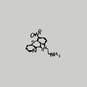 NCCn1nc2c3c(c([N+](=O)[O-])ccc31)Sc1cccnc1-2